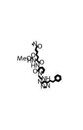 COC(=O)NC(CCC=CC(=O)N(C)C)C(=O)Nc1cccn(Cc2nc3ncnc(CCc4ccccc4)c3[nH]2)c1=O